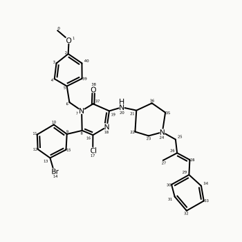 COc1ccc(Cn2c(-c3cccc(Br)c3)c(Cl)nc(NC3CCN(C/C(C)=C/c4ccccc4)CC3)c2=O)cc1